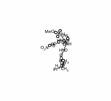 COc1ccc(C(NCCCC[C@H](NC(=O)[C@H](Cc2ccc(C#N)cc2)NC(=O)CCC(=O)NCCCO[C@H]2CC[C@@]3(C)C(=CC[C@H]4[C@@H]5CC[C@H]([C@H](C)CCCC(C)C)[C@@]5(C)CC[C@@H]43)C2)C(=O)Nc2ccc(COC(=O)Oc3ccc([N+](=O)[O-])cc3)cc2)(c2ccccc2)c2ccccc2)cc1